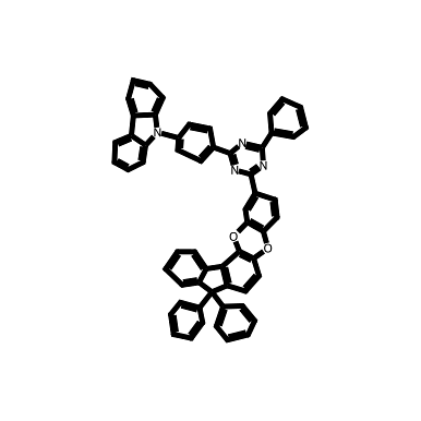 c1ccc(-c2nc(-c3ccc(-n4c5ccccc5c5ccccc54)cc3)nc(-c3ccc4c(c3)Oc3c(ccc5c3-c3ccccc3C5(c3ccccc3)c3ccccc3)O4)n2)cc1